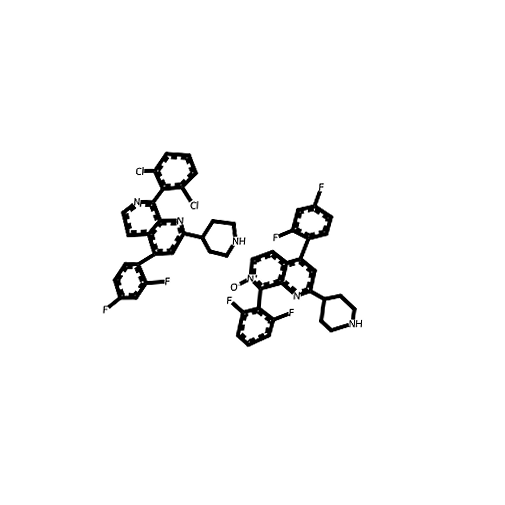 Fc1ccc(-c2cc(C3CCNCC3)nc3c(-c4c(Cl)cccc4Cl)nccc23)c(F)c1.[O-][n+]1ccc2c(-c3ccc(F)cc3F)cc(C3CCNCC3)nc2c1-c1c(F)cccc1F